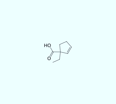 CCC1(C(=O)O)C=CCC1